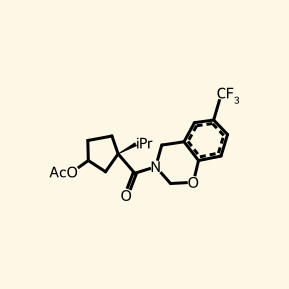 CC(=O)OC1CC[C@@](C(=O)N2COc3ccc(C(F)(F)F)cc3C2)(C(C)C)C1